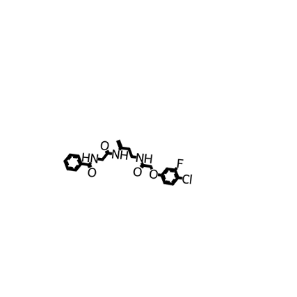 C=C(CCNC(=O)COc1ccc(Cl)c(F)c1)NC(=O)CNC(=O)c1ccccc1